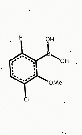 COc1c(Cl)ccc(F)c1B(O)O